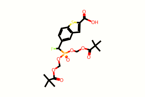 CC(C)(C)C(=O)OCOP(=O)(OCOC(=O)C(C)(C)C)C(F)c1ccc2sc(C(=O)O)cc2c1